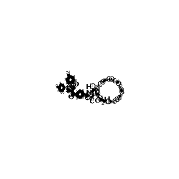 Cc1ccc(SCC(CS(=O)(=O)c2ccc(C)cc2)C(=O)c2ccc(C(=O)N[C@@H](CCC(=O)O)C(=O)N3CCOCCOCCOCCOCCOCCOCCOCC3)cc2)cc1